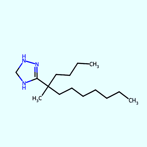 CCCCCCCC(C)(CCCC)C1=NNCN1